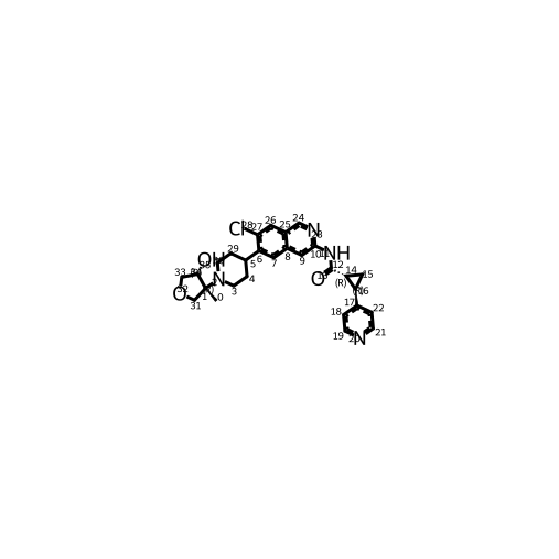 C[C@@]1(N2CCC(c3cc4cc(NC(=O)[C@@H]5C[C@H]5c5ccncc5)ncc4cc3Cl)CC2)COC[C@@H]1O